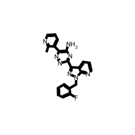 Cc1ncccc1-c1nnc(-c2nn(Cc3ccccc3F)c3ncccc23)nc1N